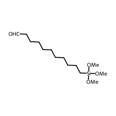 CO[Si](CCCCCCCCCCC=O)(OC)OC